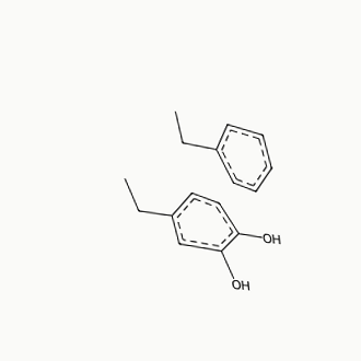 CCc1ccc(O)c(O)c1.CCc1ccccc1